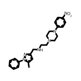 Cc1cc(CNCCN2CCN(c3ccc([N+](=O)[O-])cc3)CC2)nn1-c1ccccc1